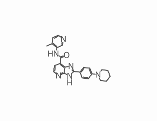 Cc1ccncc1NC(=O)c1ccnc2[nH]c(-c3ccc(N4CCCCC4)cc3)nc12